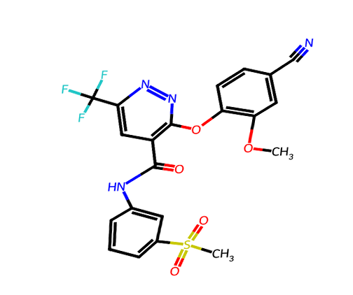 COc1cc(C#N)ccc1Oc1nnc(C(F)(F)F)cc1C(=O)Nc1cccc(S(C)(=O)=O)c1